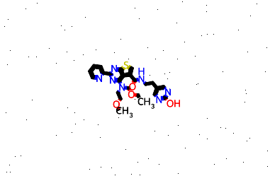 CCOCN(CCOC)c1nc(-c2ccccn2)nc2scc(C(=O)NCCc3cnc(O)nc3)c12